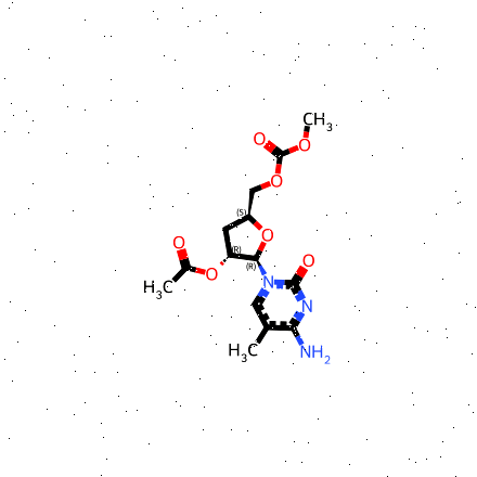 COC(=O)OC[C@@H]1C[C@@H](OC(C)=O)[C@H](n2cc(C)c(N)nc2=O)O1